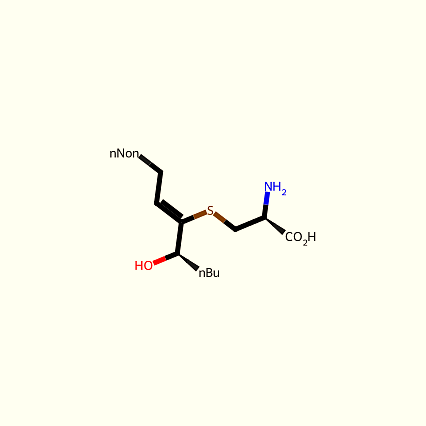 CCCCCCCCCCC=C(SC[C@@H](N)C(=O)O)[C@H](O)CCCC